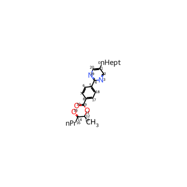 CCCCCCCc1cnc(-c2ccc(C(=O)OC(C)C(=O)CCC)cc2)nc1